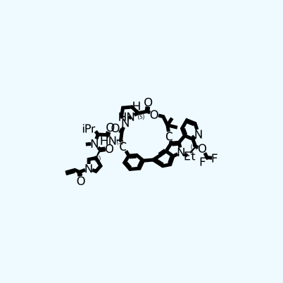 C=CC(=O)N1CC[C@H](C(=O)N(C)C(C(=O)N[C@H]2Cc3cccc(c3)-c3ccc4c(c3)c(c(-c3cccnc3[C@H](C)OC(F)F)n4CC)CC(C)(C)COC(=O)[C@@H]3CCCN(N3)C2=O)C(C)C)C1